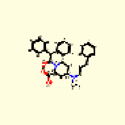 CN(CCCc1ccccc1)[C@@H]1CCN(C(=O)C(c2ccccc2)c2ccccc2)[C@H](C(=O)O)C1